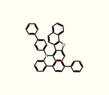 c1ccc(-c2ccc(-c3ccccc3N(c3ccc(-c4ccccc4)cc3)c3cccc4oc5c6ccccc6ccc5c34)cc2)cc1